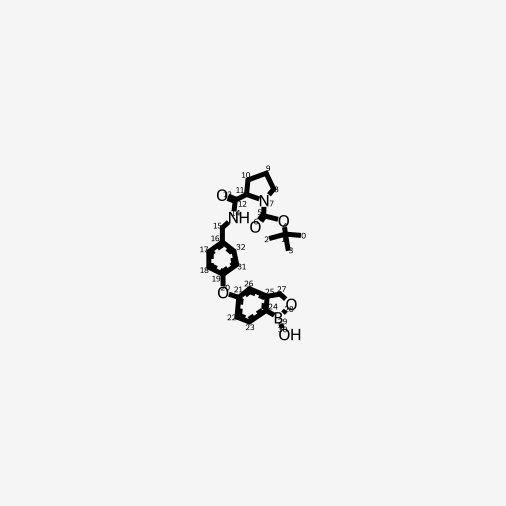 CC(C)(C)OC(=O)N1CCCC1C(=O)NCc1ccc(Oc2ccc3c(c2)COB3O)cc1